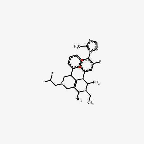 CCN1C(N)C2=C(C(c3ccccc3)CN(CC(F)F)C2)N(c2ccc(-n3ncnc3C)c(F)c2)C1N